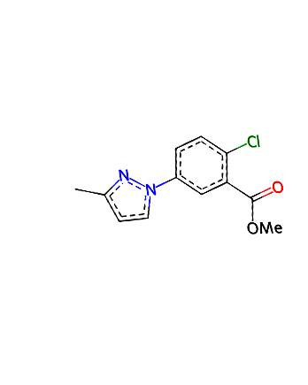 COC(=O)c1cc(-n2ccc(C)n2)ccc1Cl